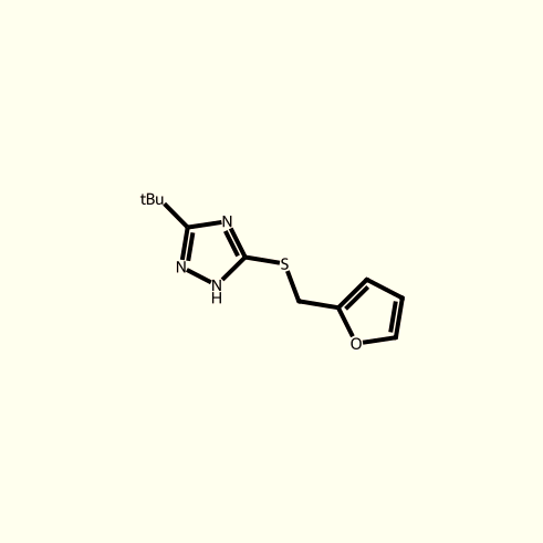 CC(C)(C)c1n[nH]c(SCc2ccco2)n1